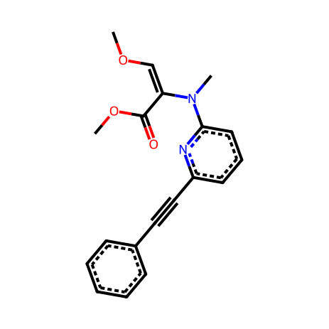 COC=C(C(=O)OC)N(C)c1cccc(C#Cc2ccccc2)n1